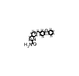 NC(=O)c1n[c]c2c(n1)CN(Cc1cccc(Oc3ccccc3)c1)CC2